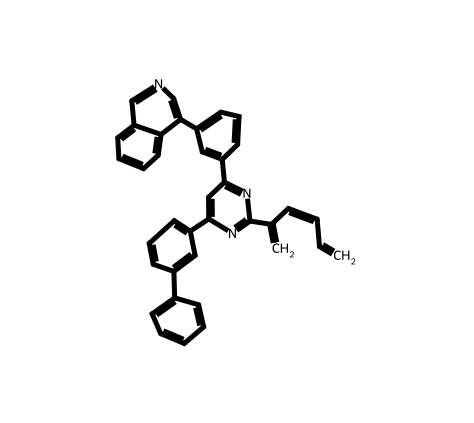 C=C/C=C\C(=C)c1nc(-c2cccc(-c3ccccc3)c2)cc(-c2cccc(-c3cncc4ccccc34)c2)n1